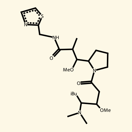 CCC(C)C(C(CC(=O)N1CCCC1C(OC)C(C)C(=O)NCc1nccs1)OC)N(C)C